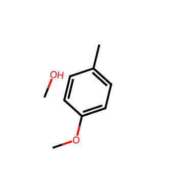 CO.COc1ccc(C)cc1